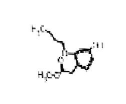 CCCCOc1cc(O)ccc1CC(=O)OC